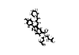 Cc1ccc(-c2nn3ccc(C(=O)N(CCC(C)C)CCC(C)C)cc3c2CCCN2CCCCC2)cc1